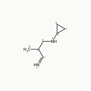 CC(C=N)CNC1CC1